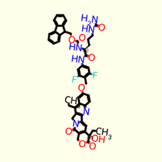 CCc1c2c(nc3ccc(OCc4c(F)cc(NC(=O)[C@H](CCCNC(N)=O)NC(=O)OCC5c6ccccc6-c6ccccc65)cc4F)cc13)-c1cc3c(c(=O)n1C2)COC(=O)[C@]3(O)CC